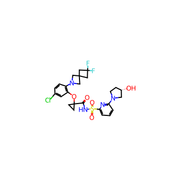 O=C(NS(=O)(=O)c1cccc(N2CC[C@H](O)C2)n1)C1(Oc2cc(Cl)ccc2N2CC3(C2)CC(F)(F)C3)CC1